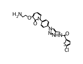 NCCOc1cccn(-c2ccc(-n3cc(CNC(=O)c4ccc(Cl)s4)nn3)cc2)c1=O